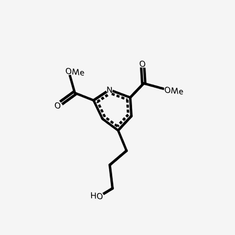 COC(=O)c1cc(CCCO)cc(C(=O)OC)n1